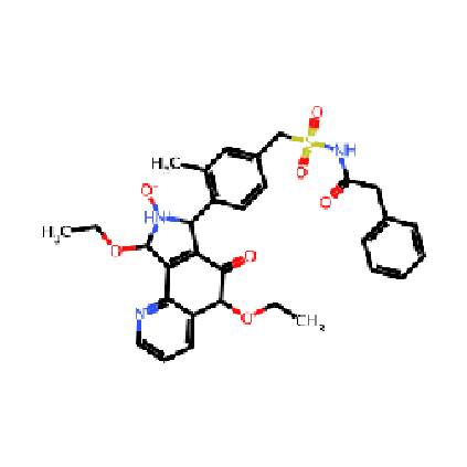 CCOC1C(=O)C2=C(c3ncccc31)C(OCC)[NH+]([O-])C2c1ccc(CS(=O)(=O)NC(=O)Cc2ccccc2)cc1C